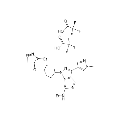 CCNc1cc2c(cn1)c(-c1cnn(C)c1)nn2C1CCC(Oc2cnnn2CC)CC1.O=C(O)C(F)(F)F.O=C(O)C(F)(F)F